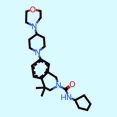 CC1(C)CN(C(=O)NC2CCCC2)Cc2cc(N3CCC(N4CCOCC4)CC3)ccc21